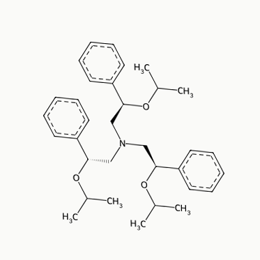 CC(C)O[C@@H](CN(C[C@H](OC(C)C)c1ccccc1)C[C@H](OC(C)C)c1ccccc1)c1ccccc1